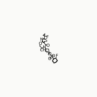 C[C@@H]1COc2nc(C3(F)CC3)sc2C(=O)N1C1CC2(C1)CN(S(=O)(=O)c1ccccc1F)C2